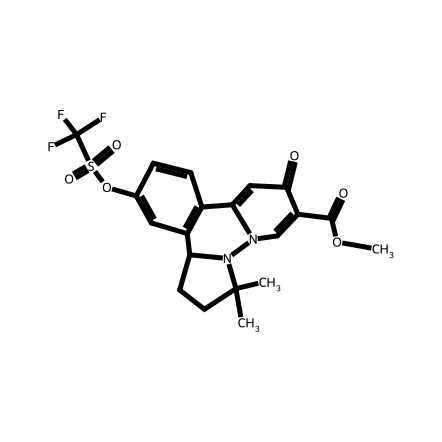 COC(=O)c1cn2c(cc1=O)-c1ccc(OS(=O)(=O)C(F)(F)F)cc1C1CCC(C)(C)N12